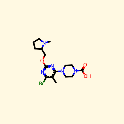 Cc1c(Br)nc(OCC2CCCN2C)nc1N1CCN(C(=O)O)CC1